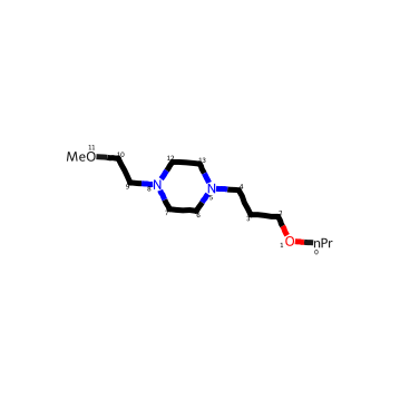 CCCOCCCN1CCN(CCOC)CC1